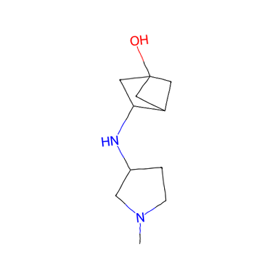 CN1CCC(NC2CC3(O)CC2C3)C1